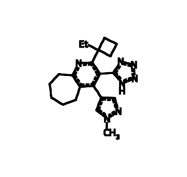 CCC1(c2nc3c(c(-c4cnn(C)c4)c2-c2nnn[nH]2)CCCCC3)CCC1